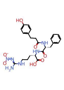 NC(=N[N+](=O)[O-])NCCC[C@H](NC(=O)[C@@H](Cc1ccccc1)NC(=O)CCc1ccc(O)cc1)C(=O)O